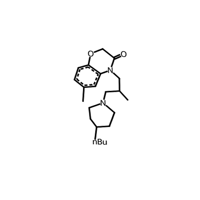 CCCCC1CCN(CC(C)CN2C(=O)COc3ccc(C)cc32)CC1